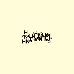 CN/C=C(\C=N)N1CCc2oc(-c3ccccn3)nc2C1